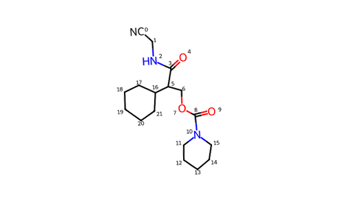 N#CCNC(=O)C(COC(=O)N1CCCCC1)C1CCCCC1